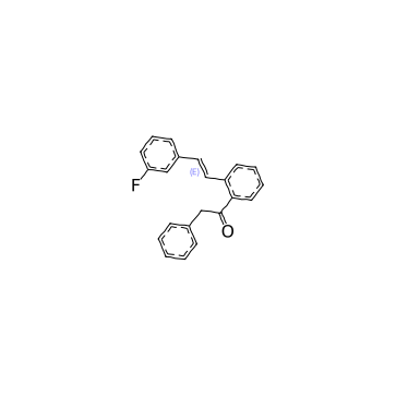 O=C(Cc1ccccc1)c1ccccc1/C=C/c1cccc(F)c1